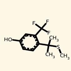 CSC(C)(C)c1ccc(O)cc1C(F)(F)F